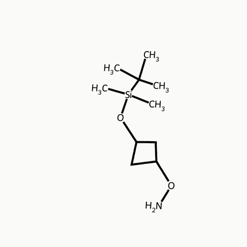 CC(C)(C)[Si](C)(C)OC1CC(ON)C1